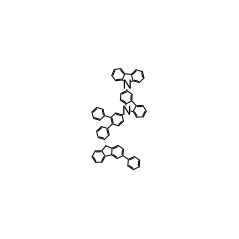 c1ccc(-c2ccc3c(c2)-c2ccccc2[C@@H]3c2cccc(-c3ccc(-n4c5ccccc5c5cc(-n6c7ccccc7c7ccccc76)ccc54)cc3-c3ccccc3)c2)cc1